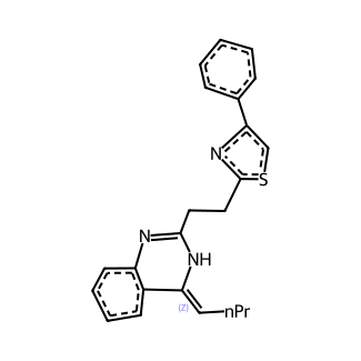 CCC/C=C1\NC(CCc2nc(-c3ccccc3)cs2)=Nc2ccccc21